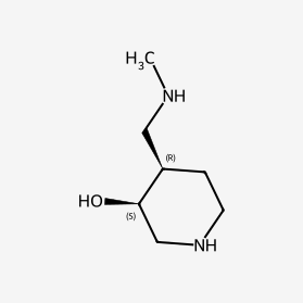 CNC[C@H]1CCNC[C@H]1O